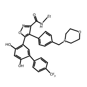 CCNC(=O)c1noc(-c2cc(-c3ccc(C(F)(F)F)cc3)c(O)cc2O)c1-c1ccc(CN2CCOCC2)cc1